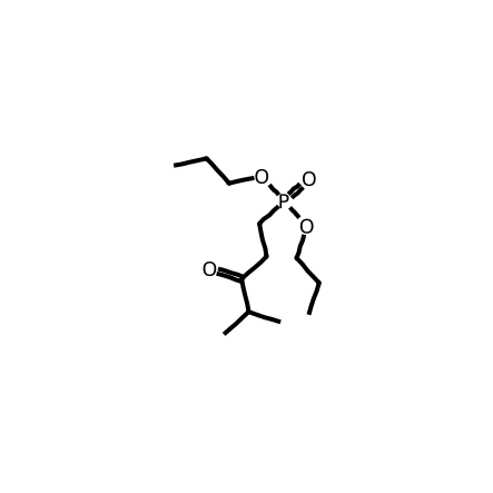 CCCOP(=O)(CCC(=O)C(C)C)OCCC